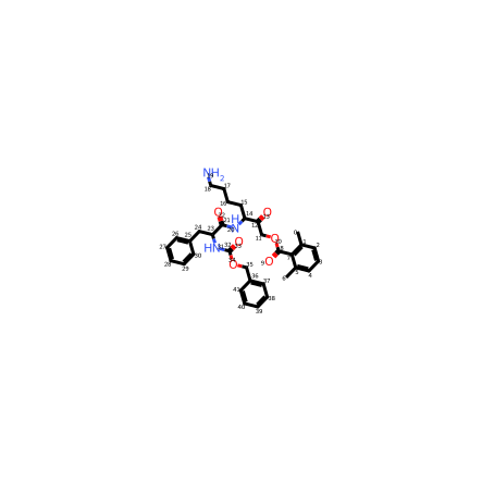 Cc1cccc(C)c1C(=O)OCC(=O)C(CCCCN)NC(=O)C(Cc1ccccc1)NC(=O)OCc1ccccc1